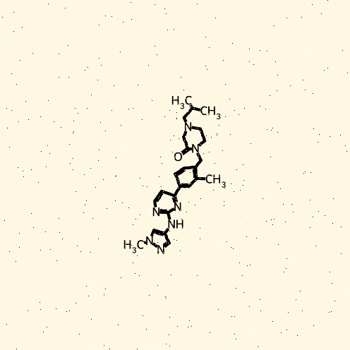 Cc1cc(-c2ccnc(Nc3cnn(C)c3)n2)ccc1CN1CCN(CC(C)C)CC1=O